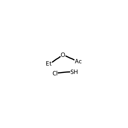 CCOC(C)=O.SCl